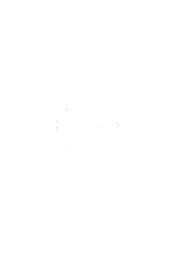 Cc1cccc2c1CC(C=O)C2